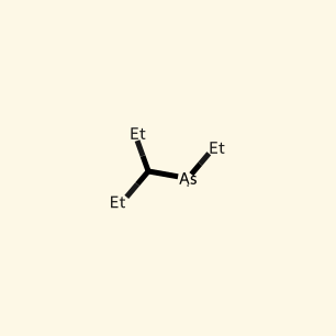 CC[As]C(CC)CC